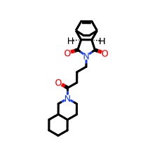 O=C(CCCN1C(=O)[C@@H]2C3C=CC(CC3)[C@@H]2C1=O)N1CCC2CCCCC2C1